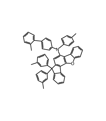 Cc1ccc(N(c2ccc(-c3ccccc3C)cc2)c2cc3c(c4oc5ccccc5c24)-c2ccccc2C3(c2cccc(C)c2)c2cccc(C)c2)cc1